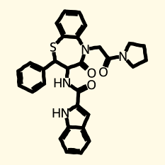 O=C(NC1C(=O)N(CC(=O)N2CCCC2)c2ccccc2SC1c1ccccc1)c1cc2ccccc2[nH]1